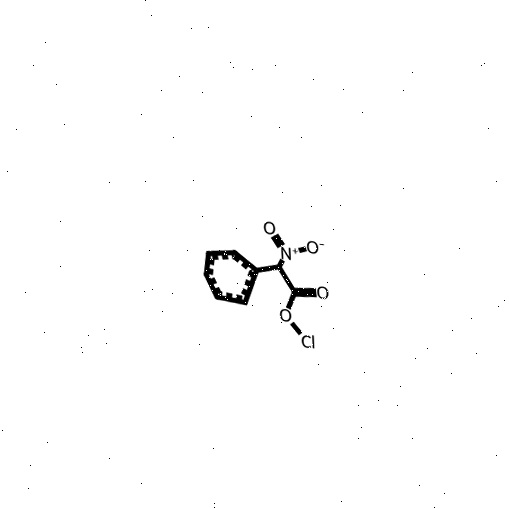 O=C(OCl)C(c1ccccc1)[N+](=O)[O-]